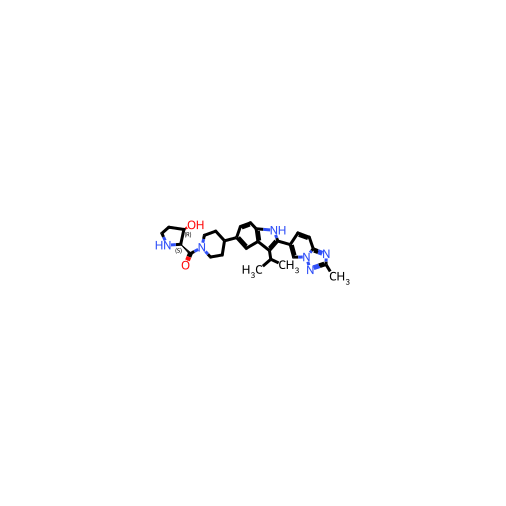 Cc1nc2ccc(-c3[nH]c4ccc(C5CCN(C(=O)[C@H]6NCC[C@H]6O)CC5)cc4c3C(C)C)cn2n1